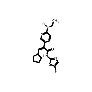 CC[S+]([O-])c1ccc(C(=CC2CCCC2)C(=O)Nc2ncc(F)s2)cn1